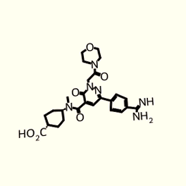 CN(C(=O)c1cc(-c2ccc(C(=N)N)cc2)nn(CC(=O)N2CCOCC2)c1=O)[C@H]1CC[C@H](C(=O)O)CC1